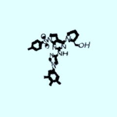 Cc1ccc(S(=O)(=O)n2ccc3c(N4CCC[C@H]4CO)nc(Nc4cn(-c5cc(C)c(C)c(C)c5)cn4)nc32)cc1